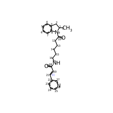 CC1Cc2ccccc2N1C(=O)CCCCCNC(=O)/C=C/c1cccnc1